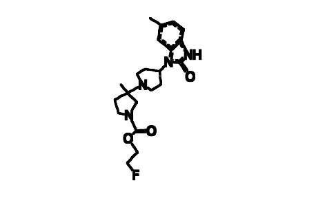 Cc1ccc2[nH]c(=O)n(C3CCN(C4(C)CCN(C(=O)OCCF)C4)CC3)c2c1